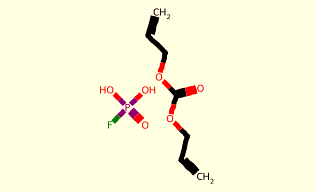 C=CCOC(=O)OCC=C.O=P(O)(O)F